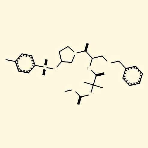 Cc1ccc(S(=O)(=O)NC2CCN(C(=O)C(COCc3ccccc3)NC(=O)C(C)(C)NC(=O)OC(C)(C)C)C2)cc1